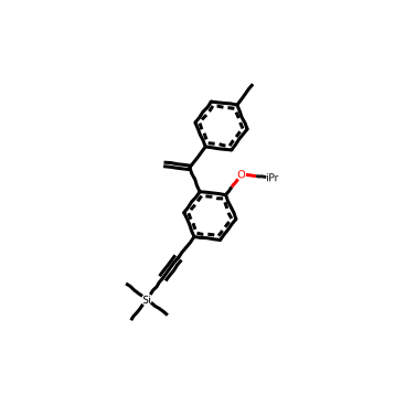 C=C(c1ccc(C)cc1)c1cc(C#C[Si](C)(C)C)ccc1OC(C)C